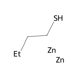 CCCCS.[Zn].[Zn]